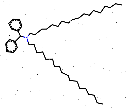 CCCCCCCCCCCCCCCCCCN(CCCCCCCCCCCCCCCCCC)C(c1ccccc1)c1ccccc1